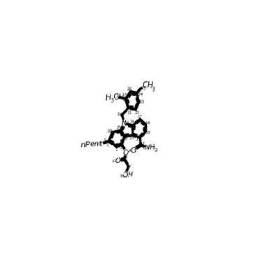 CCCCCc1cc(OC(=O)CO)c2c3c(C(N)=O)cccc3n(Cc3ccc(C)cc3C)c2c1